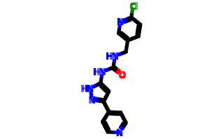 O=C(NCc1ccc(Cl)nc1)Nc1cc(-c2ccncc2)n[nH]1